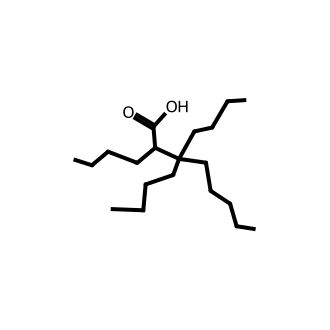 CCCCCC(CCCC)(CCCC)C(CCCC)C(=O)O